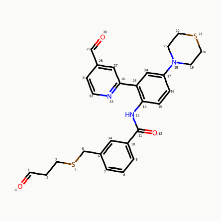 O=CCCSCc1cccc(C(=O)Nc2ccc(N3CCSCC3)cc2-c2cc(C=O)ccn2)c1